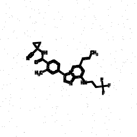 C/C=C/c1cc(NCCC(F)(F)F)c2ncc(-c3ccc(C(=O)NC4(C#N)CC4)c(C)c3)n2c1